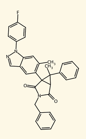 Cc1cc2c(cnn2-c2ccc(F)cc2)cc1C12C(=O)N(Cc3ccccc3)C(=O)C1C2(C)c1ccccc1